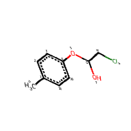 Cc1ccc(OC(O)CCl)cc1